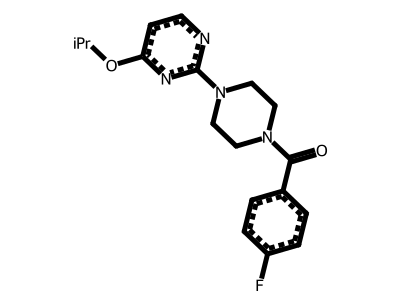 CC(C)Oc1ccnc(N2CCN(C(=O)c3ccc(F)cc3)CC2)n1